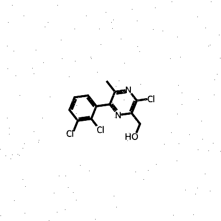 Cc1nc(Cl)c(CO)nc1-c1cccc(Cl)c1Cl